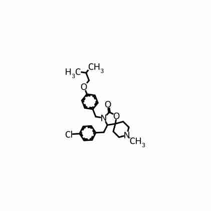 CC(C)COc1ccc(CN2C(=O)OC3(CCN(C)CC3)C2Cc2ccc(Cl)cc2)cc1